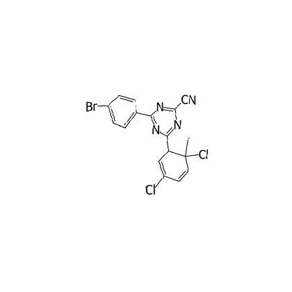 CC1(Cl)C=CC(Cl)=CC1c1nc(C#N)nc(-c2ccc(Br)cc2)n1